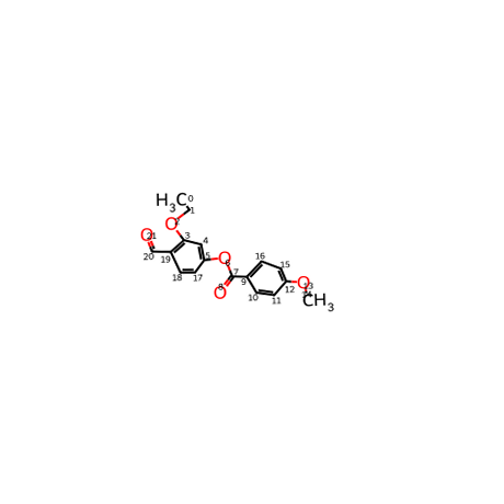 CCOc1cc(OC(=O)c2ccc(OC)cc2)ccc1C=O